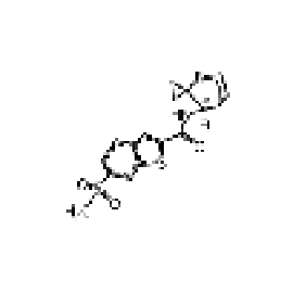 CS(=O)(=O)c1ccc2cc(C(=O)N[C@@H]3C4CCN(CC4)C34CC4)sc2c1